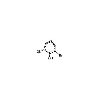 O=Nc1cncc(Br)c1O